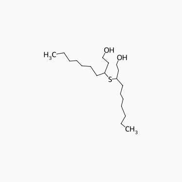 CCCCCCCC(CCO)SC(CCO)CCCCCCC